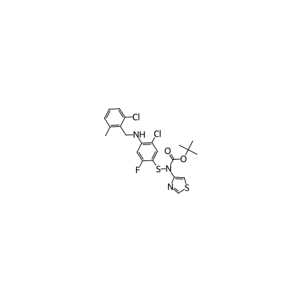 Cc1cccc(Cl)c1CNc1cc(F)c(SN(C(=O)OC(C)(C)C)c2cscn2)cc1Cl